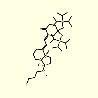 C=C1CCC(O[Si](C(C)C)(C(C)C)C(C)C)(O[Si](C(C)C)(C(C)C)C(C)C)C/C1=C\C=C1CCC[C@]2(C)[C@@H]([C@H](C)CCCBr)CC[C@@H]12